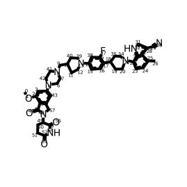 COc1cc(N2CCN(CC3CCN(c4ccc(C5CCN(c6ccc(C)c7c(C#N)c[nH]c67)CC5)c(F)c4)CC3)CC2)cc2c1C(=O)N(C1CCC(=O)NC1=O)C2